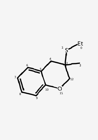 CCSC1(C)[CH]c2ccccc2OC1